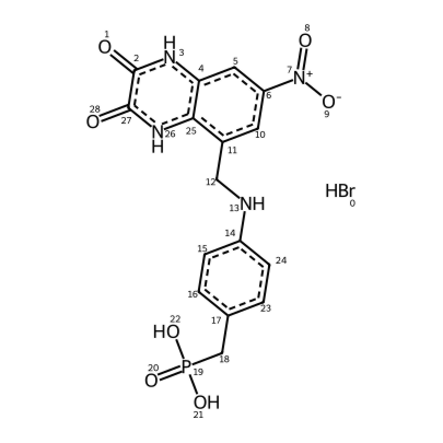 Br.O=c1[nH]c2cc([N+](=O)[O-])cc(CNc3ccc(CP(=O)(O)O)cc3)c2[nH]c1=O